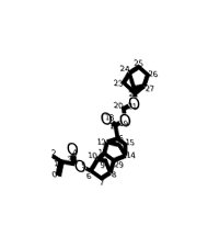 C=C(C)C(=O)OC1CC2CC1C1C3CC(CC3C(=O)OCOC3CC4CCC3C4)C21